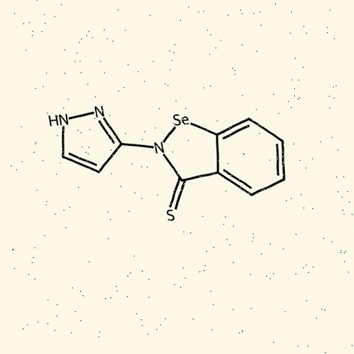 S=c1c2ccccc2[se]n1-c1cc[nH]n1